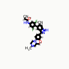 CN1CCN2c3ccc(-c4n[nH]c5cc(C#N)c(-c6c(F)cc(NC(=O)CC#N)cc6F)cc45)cc3OCC2C1